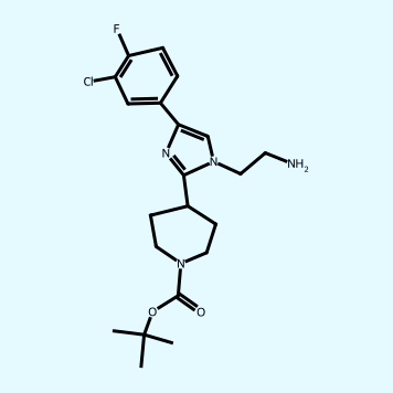 CC(C)(C)OC(=O)N1CCC(c2nc(-c3ccc(F)c(Cl)c3)cn2CCN)CC1